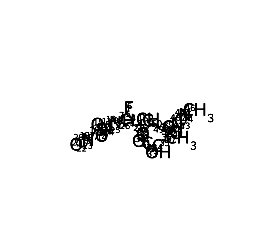 C/C(=C\c1cc(F)cc(N2CCN(S(=O)(=O)CCN3CCOCC3)CC2)c1)[C@H]1OC(=O)C[C@H](O)CC[C@H](C)[C@H](OC(=O)N2CCN(C)CC2)/C=C/[C@@H]1C